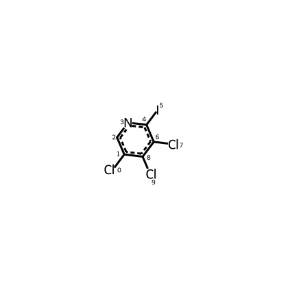 Clc1cnc(I)c(Cl)c1Cl